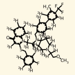 [2H]c1c([2H])c(F)c(F)c(CSc2c([2H])c(=O)c3c([2H])c([2H])c([2H])c([2H])c3n2C([2H])([2H])C(=O)N(Cc2c([2H])c([2H])c(-c3c([2H])c([2H])c(C(F)(F)F)c(C)c3[2H])c([2H])c2[2H])C2([2H])C([2H])([2H])C([2H])([2H])N(C([2H])([2H])COC)C([2H])([2H])C2([2H])[2H])c1[2H]